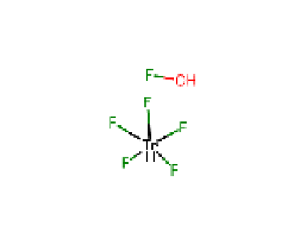 F[TeH](F)(F)(F)F.OF